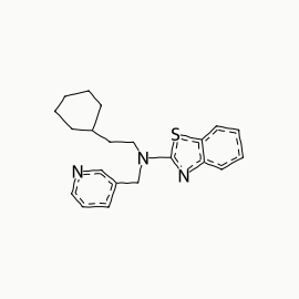 c1cncc(CN(CCC2CCCCC2)c2nc3ccccc3s2)c1